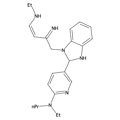 CCCN(CC)c1ccc(C2Nc3ccccc3N2CC(=N)/C=C\NCC)cn1